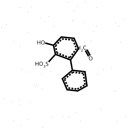 C=O.O=S(=O)(O)c1c(O)cccc1-c1ccccc1